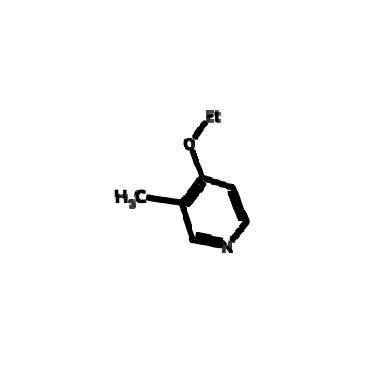 CCOc1ccncc1C